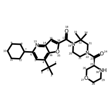 CC(C)(C)c1cc(C2CCCCC2)nc2cc(C(=O)N3CCN(C(=O)[C@@H]4COCCN4)CC3(C)C)oc12